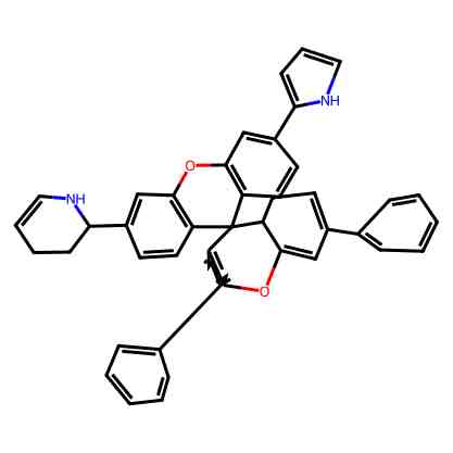 C1=CNC(c2ccc3c(c2)Oc2cc(-c4ccc[nH]4)ccc2C32c3ccc(-c4ccccc4)cc3OC3=CC(c4ccccc4)=CCC32)CC1